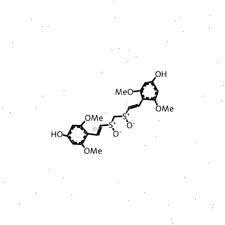 COc1cc(O)cc(OC)c1C=C[S+]([O-])C[S+]([O-])/C=C/c1c(OC)cc(O)cc1OC